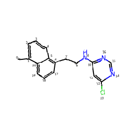 Cc1cccc2c(CCNc3cc(Cl)ncn3)cccc12